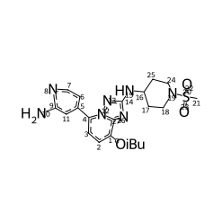 CC(C)COc1ccc(-c2ccnc(N)c2)n2nc(NC3CCN(S(C)(=O)=O)CC3)nc12